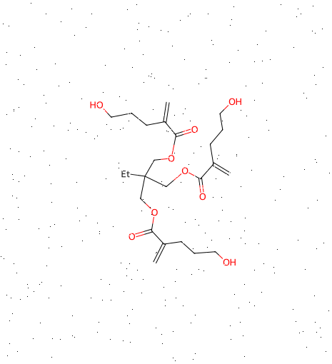 C=C(CCCO)C(=O)OCC(CC)(COC(=O)C(=C)CCCO)COC(=O)C(=C)CCCO